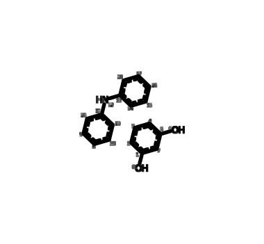 Oc1cccc(O)c1.c1ccc(Nc2ccccc2)cc1